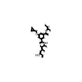 C=C/C(O)=C\C(C)=C(/C)C(C)NC(=C)c1cc(OCC2CC2)cc(C(=C)S/C(C)=C\C)c1